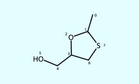 C[C]1OC(CO)CS1